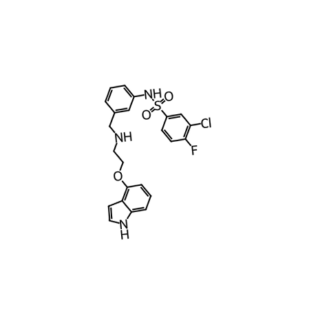 O=S(=O)(Nc1cccc(CNCCOc2cccc3[nH]ccc23)c1)c1ccc(F)c(Cl)c1